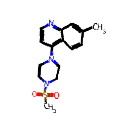 Cc1ccc2c(N3CCN(S(C)(=O)=O)CC3)ccnc2c1